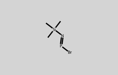 C[Si](C)(C)N=PBr